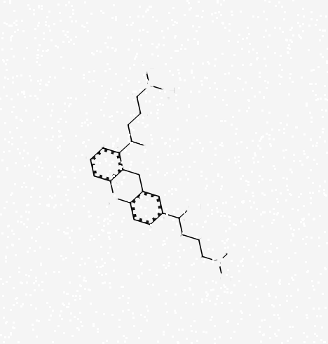 CN(C)CCCC(O)c1ccc2c(c1)Cc1c(cccc1C(O)CCCN(C)C)S2